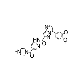 COc1ccc(-c2ccnc3cc(C(=O)Nc4ccc(C(=O)N5CCN(C)CC5)cn4)nn23)cc1OC